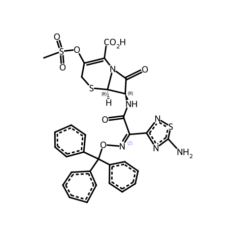 CS(=O)(=O)OC1=C(C(=O)O)N2C(=O)[C@@H](NC(=O)/C(=N\OC(c3ccccc3)(c3ccccc3)c3ccccc3)c3nsc(N)n3)[C@H]2SC1